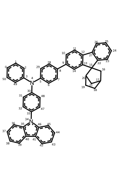 c1ccc(N(c2ccc(-c3ccc4c(c3)C3(CC5CCC3C5)c3ccccc3-4)cc2)c2ccc(-n3c4ccccc4c4ccccc43)cc2)cc1